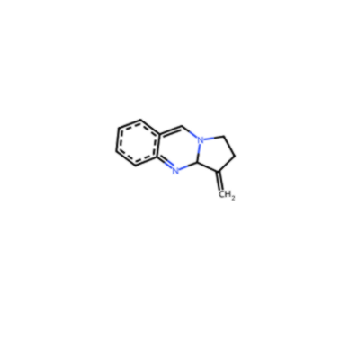 C=C1CCN2C=c3ccccc3=NC12